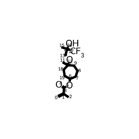 C=C(C)C(=O)OC1CCCC(C)(OCC(C)(O)C(F)(F)F)CC1